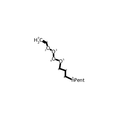 C=COOOOCCCCCCCC